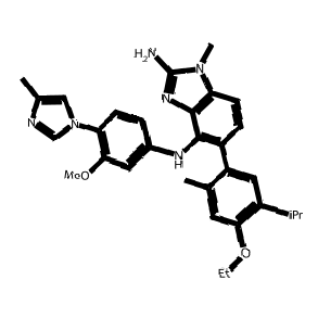 CCOc1cc(C)c(-c2ccc3c(nc(N)n3C)c2Nc2ccc(-n3cnc(C)c3)c(OC)c2)cc1C(C)C